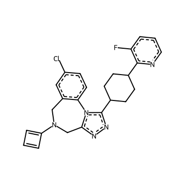 Fc1cccnc1C1CCC(c2nnc3n2-c2ccc(Cl)cc2CN(C2=CC=C2)C3)CC1